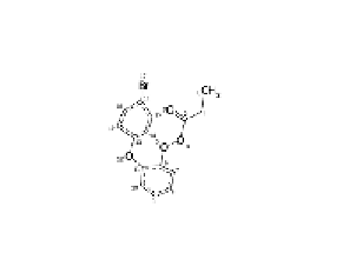 CCC(=O)OOc1ccccc1Oc1ccc(Br)cc1